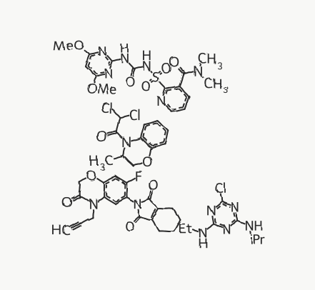 C#CCN1C(=O)COc2cc(F)c(N3C(=O)C4=C(CCCC4)C3=O)cc21.CC1COc2ccccc2N1C(=O)C(Cl)Cl.CCNc1nc(Cl)nc(NC(C)C)n1.COc1cc(OC)nc(NC(=O)NS(=O)(=O)c2ncccc2C(=O)N(C)C)n1